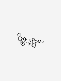 COc1cccc(F)c1C(=O)N1CCC2(CC1)Oc1cc(Cl)ccc1-n1cccc12